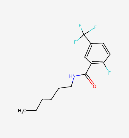 CCCCCCNC(=O)c1cc(C(F)(F)F)ccc1F